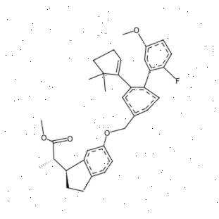 COC(=O)[C@@H](C)[C@@H]1CCc2ccc(OCc3ccc(-c4cc(OC)ccc4F)c(C4=CCCC4(C)C)c3)cc21